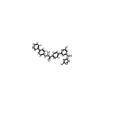 Cc1cc(Nc2noc(C)n2)nc(-c2ccc(C(=O)NCc3ccc(-c4cccnc4)nc3)nc2)n1